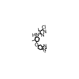 Cc1cc(Nc2ncnc(Cl)c2I)ccc1Oc1ccc2c(c1)ncn2C